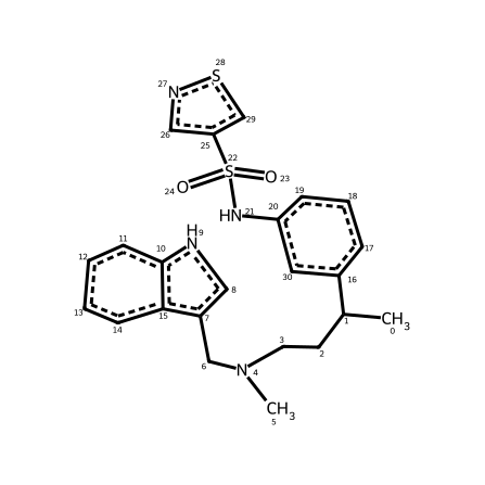 CC(CCN(C)Cc1c[nH]c2ccccc12)c1cccc(NS(=O)(=O)c2cnsc2)c1